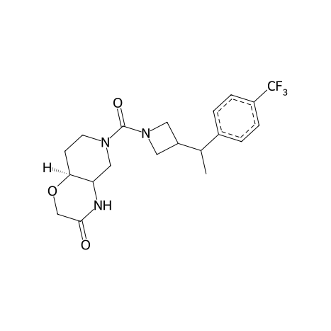 CC(c1ccc(C(F)(F)F)cc1)C1CN(C(=O)N2CC[C@@H]3OCC(=O)NC3C2)C1